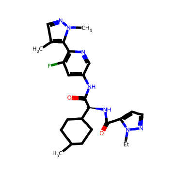 CCn1nccc1C(=O)N[C@H](C(=O)Nc1cnc(-c2c(C)cnn2C)c(F)c1)C1CCC(C)CC1